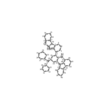 B1c2c(-c3cccc4c3[nH]c3oc5ccccc5c34)cc(N(c3ccccc3)c3ccccc3)cc2-n2c3ccccc3c3cccc1c32